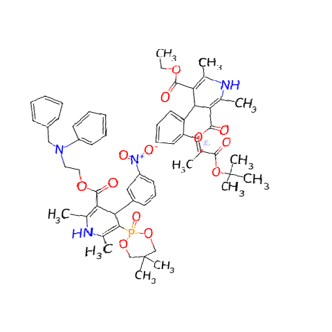 CC1=C(C(=O)OCCN(Cc2ccccc2)c2ccccc2)C(c2cccc([N+](=O)[O-])c2)C(P2(=O)OCC(C)(C)CO2)=C(C)N1.CCOC(=O)C1=C(C)NC(C)=C(C(=O)OCC)C1c1ccccc1/C=C/C(=O)OC(C)(C)C